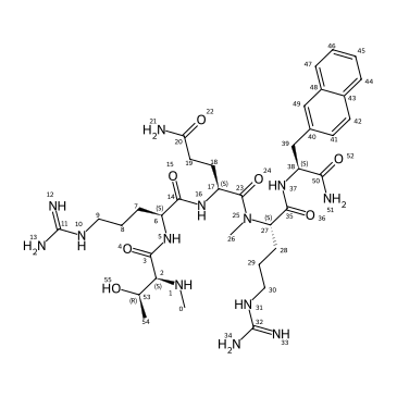 CN[C@H](C(=O)N[C@@H](CCCNC(=N)N)C(=O)N[C@@H](CCC(N)=O)C(=O)N(C)[C@@H](CCCNC(=N)N)C(=O)N[C@@H](Cc1ccc2ccccc2c1)C(N)=O)[C@@H](C)O